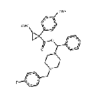 COc1ccc(C2(C(=O)OC(c3ccccc3)N3CCN(Cc4ccc(F)cc4)CC3)CC2OC)cc1